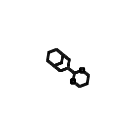 C1COC(C2CC3CCCC(C3)C2)OC1